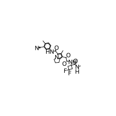 CNC(=O)C1(NC(=O)C(=O)c2c(C)c(C(=O)Nc3ccc(C)c(C#N)c3)n3c2CCC3)CC(F)(F)C1